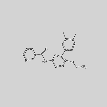 Cc1ccc(-c2cc(NC(=O)c3cccnc3)cnc2OCC(F)(F)F)cc1C